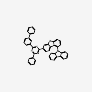 c1ccc(-c2cccc(-c3nc(-c4ccccc4)nc(-c4ccc5c(c4)oc4cccc(-n6c7ccccc7c7ccccc76)c45)n3)c2)cc1